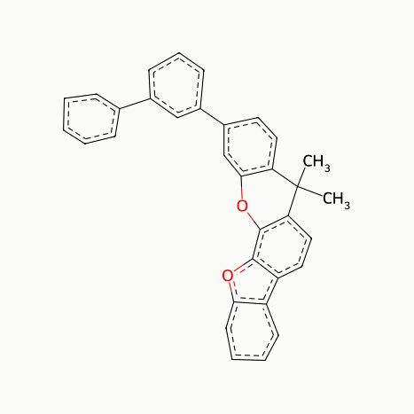 CC1(C)c2ccc(-c3cccc(-c4ccccc4)c3)cc2Oc2c1ccc1c2oc2ccccc21